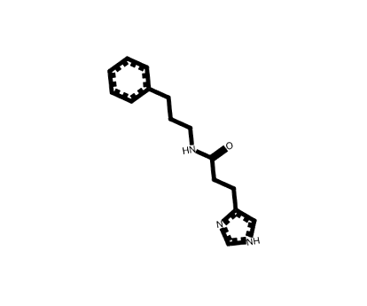 O=C(CCc1c[nH]cn1)NCCCc1ccccc1